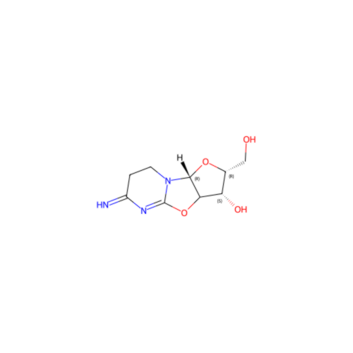 N=C1CCN2C(=N1)OC1[C@@H](O)[C@@H](CO)O[C@H]12